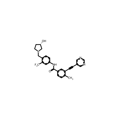 Cc1ccc(C(=O)Nc2ccc(CN3CC[C@H](O)C3)c(C(F)(F)F)c2)cc1C#Cc1cncnc1